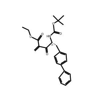 C=C(C(=O)OCC)C(=O)[C@@H](Cc1ccc(-c2ccccc2)cc1)NC(=O)OC(C)(C)C